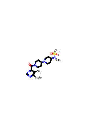 CNc1ncnc(C(=O)N2CCC(N3CCC(N(C)S(C)(=O)=O)CC3)CC2)c1C